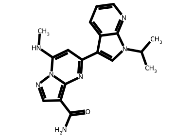 CNc1cc(-c2cn(C(C)C)c3ncccc23)nc2c(C(N)=O)cnn12